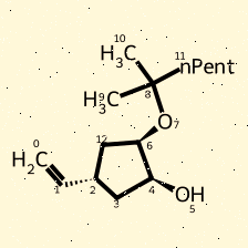 C=C[C@H]1C[C@H](O)[C@H](OC(C)(C)CCCCC)C1